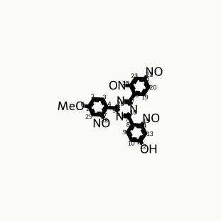 COc1ccc(-c2nc(-c3ccc(O)cc3N=O)nc(-c3ccc(N=O)cc3N=O)n2)c(N=O)c1